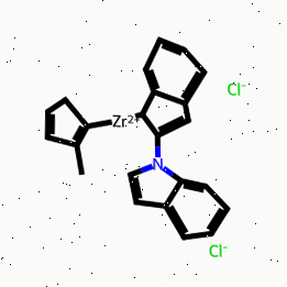 CC1=[C]([Zr+2][CH]2C(n3ccc4ccccc43)=Cc3ccccc32)CC=C1.[Cl-].[Cl-]